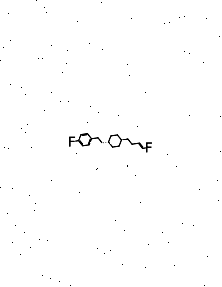 F/C=C/CC[C@H]1CC[C@H](CCc2ccc(F)cc2)CC1